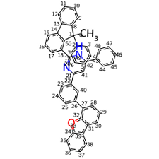 CC1(c2ccccc2)c2ccccc2-c2cccc(C3=NC(c4cccc(-c5cccc6c5oc5ccccc56)c4)=CC(c4ccccc4)N3)c21